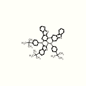 CC(C)(C)c1ccc(N2B3c4sc5ccc(C(C)(C)C)cc5c4N(c4ccc(C(C)(C)C)cc4)c4cc5c(oc6ccccc65)c(c43)-c3cc4c(cc32)sc2ccccc24)cc1